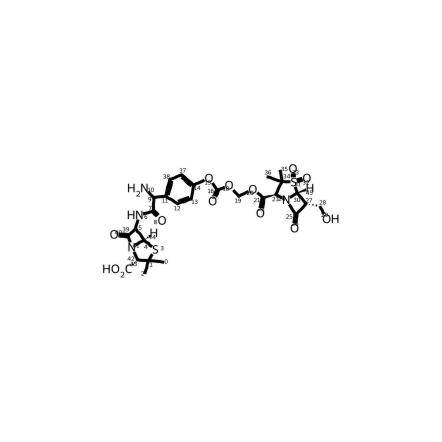 CC1(C)S[C@@H]2C(NC(=O)C(N)c3ccc(OC(=O)OCOC(=O)[C@@H]4N5C(=O)[C@@H](CO)[C@H]5S(=O)(=O)C4(C)C)cc3)C(=O)N2[C@H]1C(=O)O